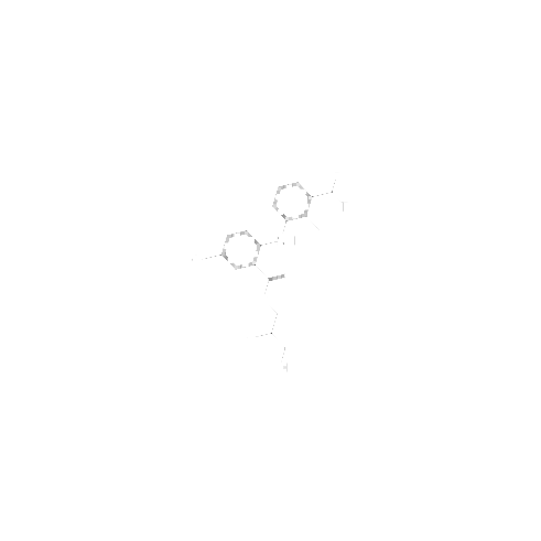 Cc1c(Nc2ccc(Cl)cc2C(=O)OCC(O)CO)cccc1C(F)F